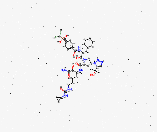 CC(C)(O)c1cnnn1[C@H]1C[C@@H](C(=O)NC(CCCCNC(=O)NC2CC2)C(=O)C(N)=O)N(C(=O)C(CC2CCCCC2)NC(=O)c2ccc(S(=O)(=O)C(F)F)cc2)C1